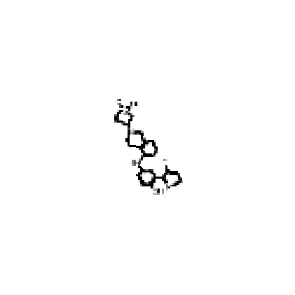 Cc1ccc(Nc2cccc3c2CCN([C@H]2CCS(=O)(=O)C2)C3)cc1-c1ncccc1F